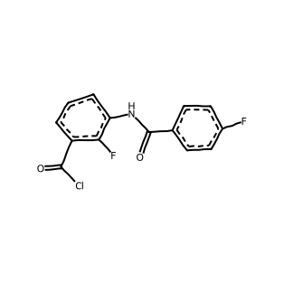 O=C(Nc1cccc(C(=O)Cl)c1F)c1ccc(F)cc1